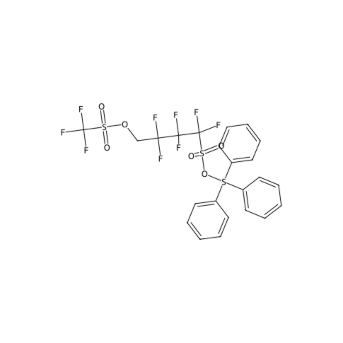 O=S(=O)(OCC(F)(F)C(F)(F)C(F)(F)S(=O)(=O)OS(c1ccccc1)(c1ccccc1)c1ccccc1)C(F)(F)F